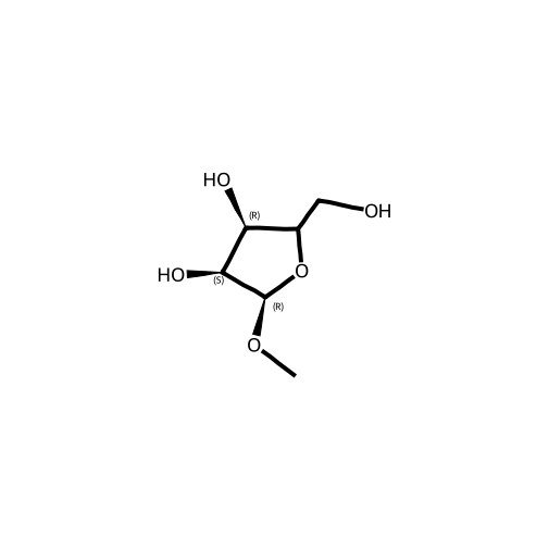 CO[C@@H]1OC(CO)[C@H](O)[C@@H]1O